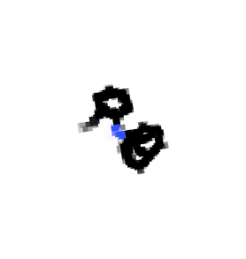 N#Cc1ccccc1NC12CC3CC(CC(C3)C1)C2